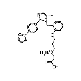 Cc1cnc(-c2ccc(-c3ccco3)cc2)n1Cc1ccccc1OCCC[C@@H](N)CC(=O)O